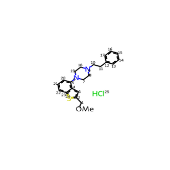 COCc1cc2c(N3CCN(CCc4ccccc4)CC3)cccc2s1.Cl